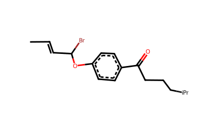 C/C=C/C(Br)Oc1ccc(C(=O)CCCC(C)C)cc1